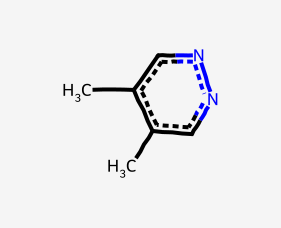 Cc1cnncc1C